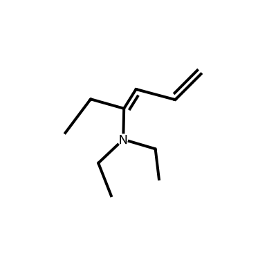 C=CC=C(CC)N(CC)CC